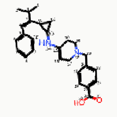 CC(C)C(=Cc1ccccc1)C1CC1NC1CCN(Cc2ccc(C(=O)O)cc2)CC1